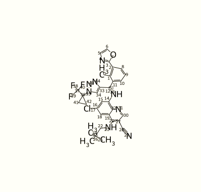 Cc1c(-c2ncco2)cccc1[C@H](Nc1cc(Cl)cc2c(NCC(C)(C)C)c(C#N)cnc12)c1cn(C2(C(F)(F)F)CC2)nn1